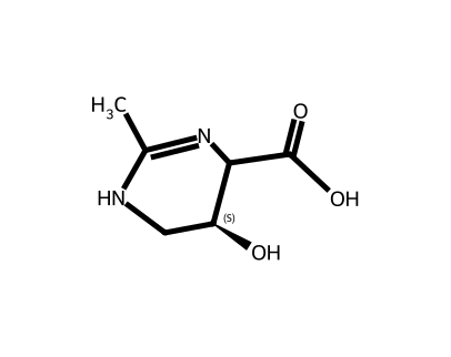 CC1=NC(C(=O)O)[C@@H](O)CN1